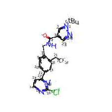 CC(C)(C)n1cc(C(=O)NCc2ccc(-c3ccnc(Cl)n3)cc2CC(F)(F)F)cn1